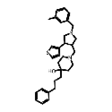 Cc1cccc(CN2CC(CN3CCC(O)(CCCc4ccccc4)CC3)C(c3ccsc3)C2)c1